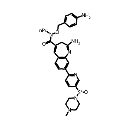 CCCN(OCc1ccc(N)cc1)C(=O)C1=Cc2ccc(-c3ccc([S+]([O-])N4CCN(C)CC4)cn3)cc2N=C(N)C1